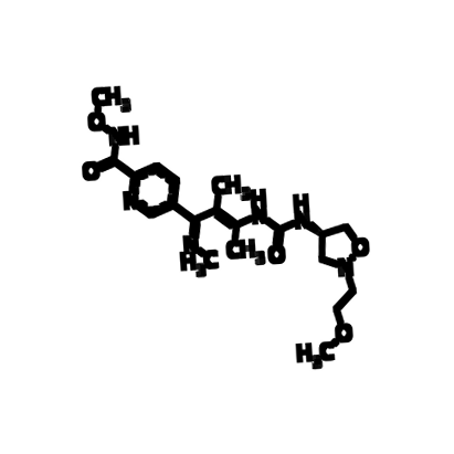 C/N=C(\C(C)=C(/C)NC(=O)N[C@H]1CON(CCOC)C1)c1ccc(C(=O)NOC)nc1